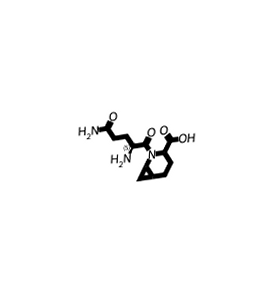 NC(=O)CC[C@H](N)C(=O)N1C(C(=O)O)CCC2CC21